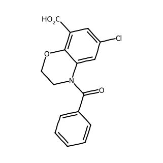 O=C(O)c1cc(Cl)cc2c1OCCN2C(=O)c1ccccc1